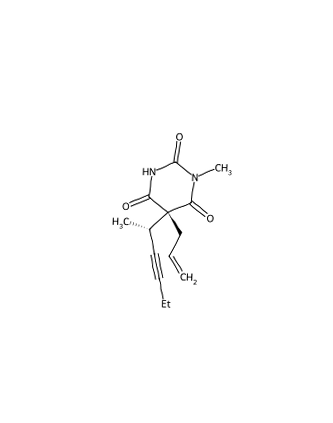 C=CC[C@@]1([C@@H](C)C#CCC)C(=O)NC(=O)N(C)C1=O